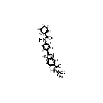 CCCC(CC)NC(=O)c1ccc2[nH]c(-c3ccc(NC(=O)C4=CCCCC4)cc3)nc2c1